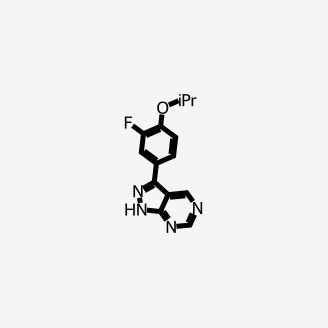 CC(C)Oc1ccc(-c2n[nH]c3ncncc23)cc1F